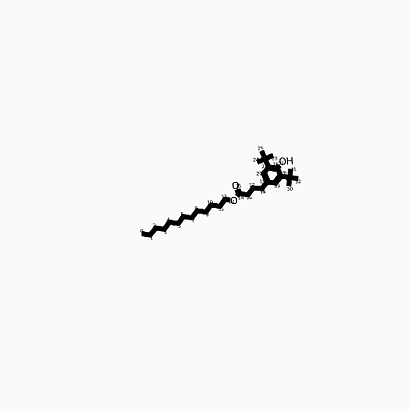 CCCCCCCCCCCCCOC(=O)CCCc1cc(C(C)(C)C)c(O)c(C(C)(C)C)c1